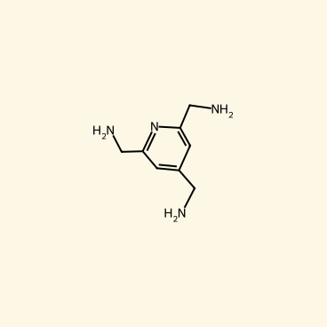 NCc1cc(CN)nc(CN)c1